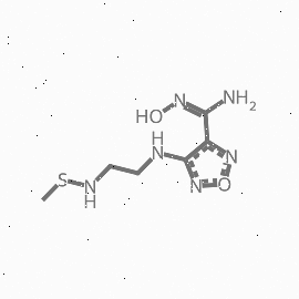 CSNCCNc1nonc1/C(N)=N\O